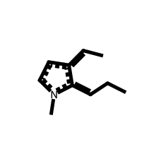 C/C=c1/ccn(C)/c1=C/CC